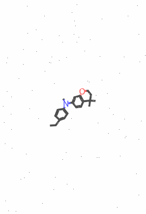 CCc1ccc(N(C)c2ccc3c(c2)OCCC3(C)C)cc1